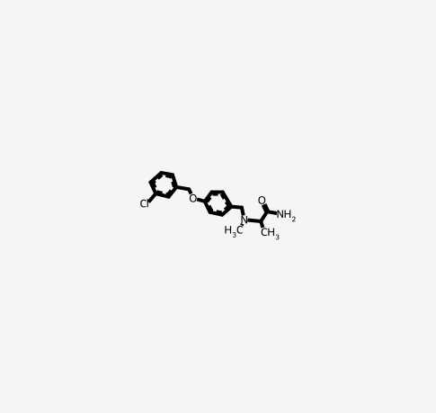 CC(C(N)=O)N(C)Cc1ccc(OCc2cccc(Cl)c2)cc1